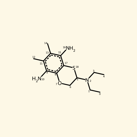 CCN(CC)C1COc2c(N)c(C)c(C)c(N)c2S1